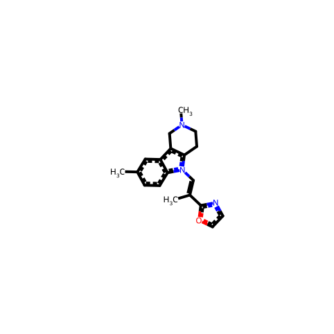 C/C(=C\n1c2c(c3cc(C)ccc31)CN(C)CC2)c1ncco1